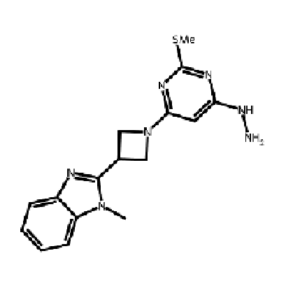 CSc1nc(NN)cc(N2CC(c3nc4ccccc4n3C)C2)n1